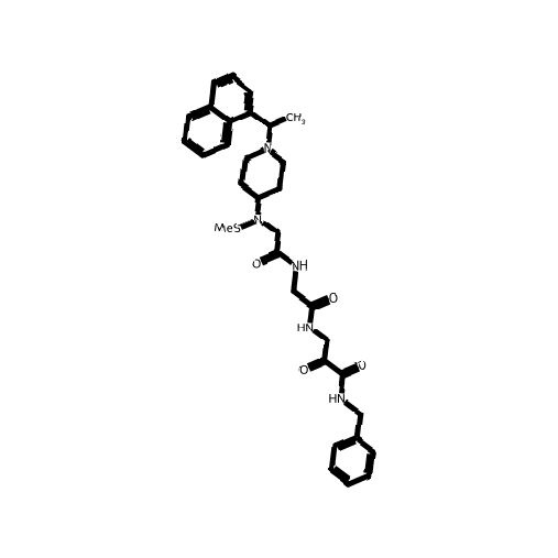 CSN(CC(=O)NCC(=O)NCC(=O)C(=O)NCc1ccccc1)C1CCN(C(C)c2cccc3ccccc23)CC1